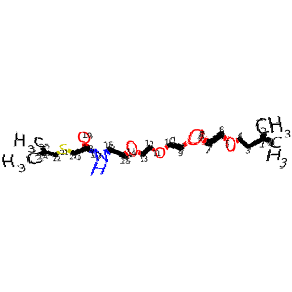 CC(C)CCOCCOCCOCCOCCNC(=O)CSCC(C)C